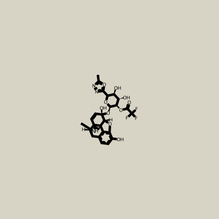 Cc1nnc(C2O[C@H](O[C@@]3(O)C=C[C@H]4[C@H]5Cc6ccc(O)c7c6[C@@]4(CCN5C)[C@H]3O7)[C@H](OC(=O)C(F)(F)F)[C@@H](O)[C@@H]2O)o1